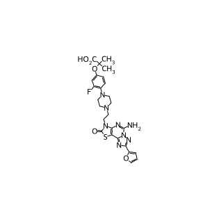 CC(C)(Oc1ccc(N2CCN(CCn3c(=O)sc4c3nc(N)n3nc(-c5ccco5)nc43)CC2)c(F)c1)C(=O)O